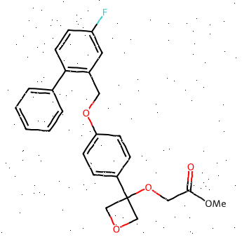 COC(=O)COC1(c2ccc(OCc3cc(F)ccc3-c3ccccc3)cc2)COC1